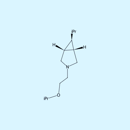 CC(C)OCCN1C[C@@H]2[C@H](C1)[C@H]2C(C)C